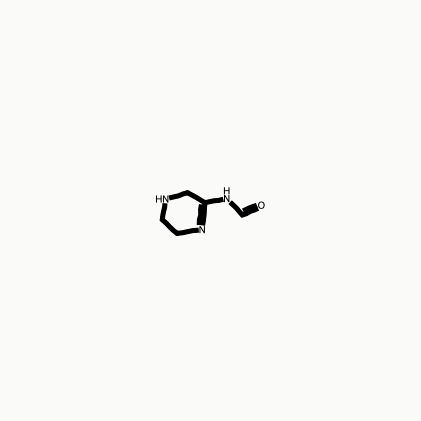 O=CNC1=NCCNC1